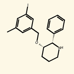 Cc1cc(I)cc(CO[C@H]2CCCN[C@H]2c2ccccc2)c1